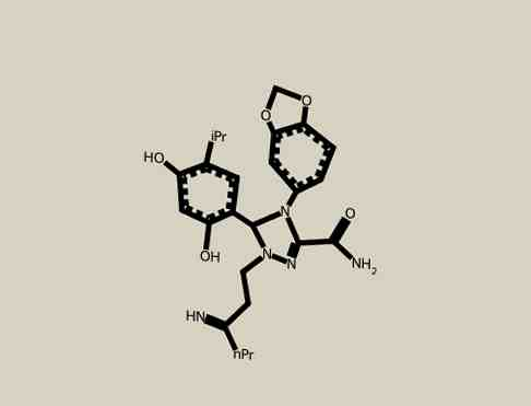 CCCC(=N)CCN1N=C(C(N)=O)N(c2ccc3c(c2)OCO3)C1c1cc(C(C)C)c(O)cc1O